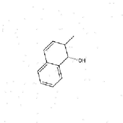 CC1C=Cc2ccccc2[C@H]1O